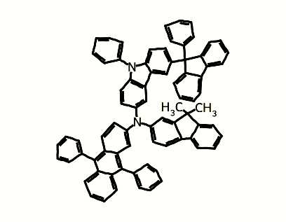 CC1(C)c2ccccc2-c2ccc(N(c3ccc4c(-c5ccccc5)c5ccccc5c(-c5ccccc5)c4c3)c3ccc4c(c3)c3cc(C5(c6ccccc6)c6ccccc6-c6ccccc65)ccc3n4-c3ccccc3)cc21